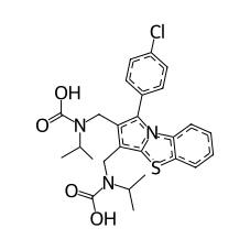 CC(C)N(Cc1c(CN(C(=O)O)C(C)C)c2sc3ccccc3n2c1-c1ccc(Cl)cc1)C(=O)O